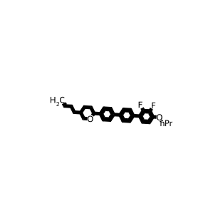 C=CCCC1CCC(c2ccc(-c3ccc(-c4ccc(OCCC)c(F)c4F)cc3)cc2)OC1